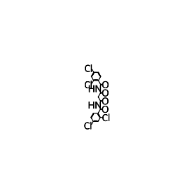 O=C(CC(=O)NC(=O)c1ccc(Cl)cc1Cl)NC(=O)c1ccc(Cl)cc1Cl